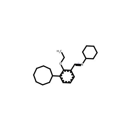 CCOc1c(/C=N/C2CCCCC2)cccc1C1CCCCCCC1